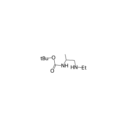 CCNCC(C)NC(=O)OC(C)(C)C